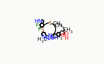 CN/C1=N\C(=N)[C@@](C)(c2cccc(CC(C)C(=O)O)c2)CCCC(C)(C)CSCCc2c(c(F)c(F)c3[nH]ccc23)Sc2ccnc1c2